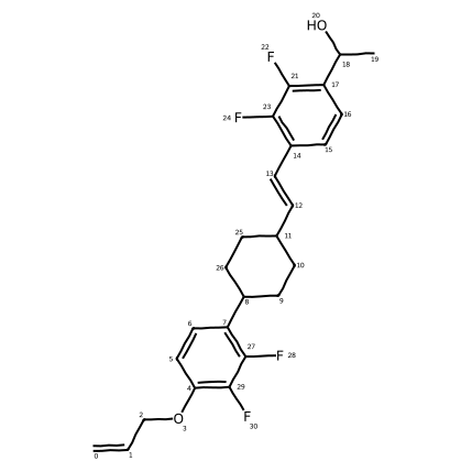 C=CCOc1ccc(C2CCC(/C=C/c3ccc(C(C)O)c(F)c3F)CC2)c(F)c1F